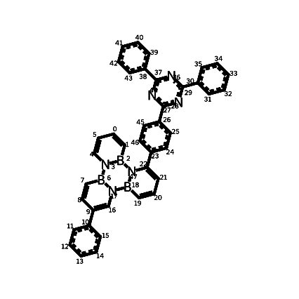 C1=CB2N(C=C1)B1C=CC(c3ccccc3)=CN1B1C=CC=C(c3ccc(-c4nc(-c5ccccc5)nc(-c5ccccc5)n4)cc3)N21